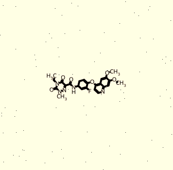 CCn1c(=O)c(C(=O)NC2C=C(F)C(Oc3ccnc4cc(OC)c(OC)cc34)=CC2)nn(C)c1=O